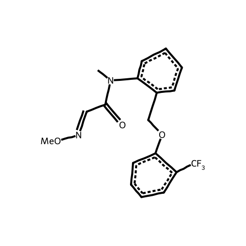 CON=CC(=O)N(C)c1ccccc1COc1ccccc1C(F)(F)F